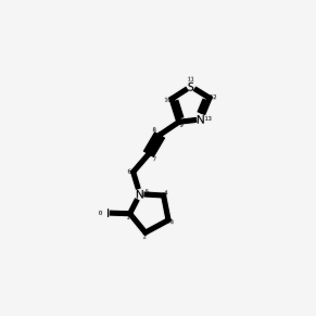 IC1CCCN1CC#Cc1cscn1